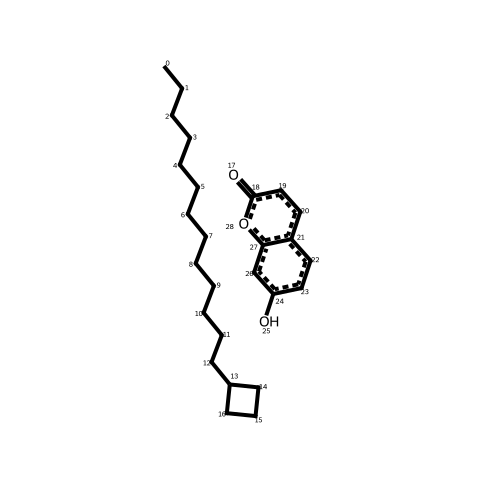 CCCCCCCCCCCCCC1CCC1.O=c1ccc2ccc(O)cc2o1